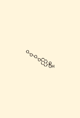 COCCOCCOCCOc1ccc2ccc3c(C(=O)O)ccc4ccc1c2c43